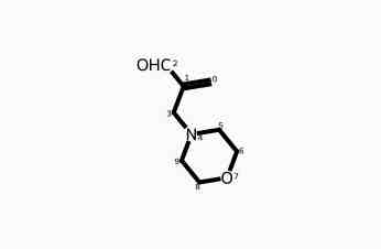 C=C(C=O)CN1CCOCC1